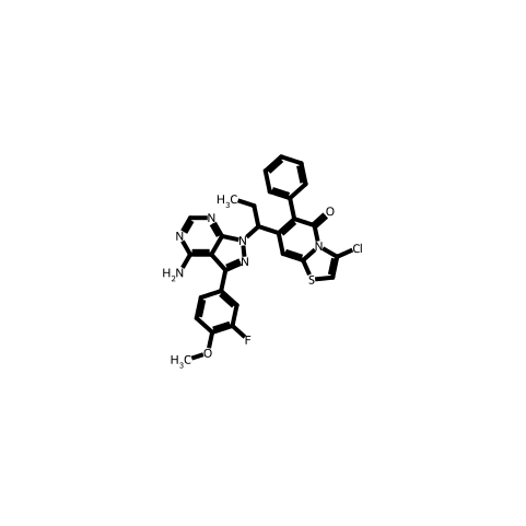 CCC(c1cc2scc(Cl)n2c(=O)c1-c1ccccc1)n1nc(-c2ccc(OC)c(F)c2)c2c(N)ncnc21